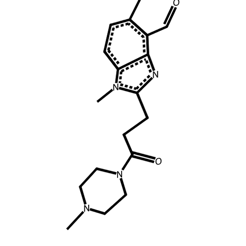 CN1CCN(C(=O)CCc2nc3c(C=O)c(O)ccc3n2C)CC1